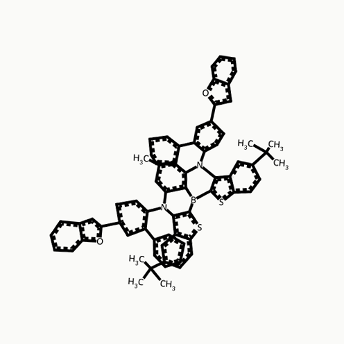 Cc1cc2c3c(c1)N(c1ccc(-c4cc5ccccc5o4)cc1-c1ccccc1)c1c(sc4ccc(C(C)(C)C)cc14)B3c1sc3ccc(C(C)(C)C)cc3c1N2c1ccc(-c2cc3ccccc3o2)cc1-c1ccccc1